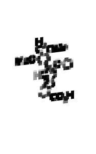 COc1cc([C@@H](O)[C@H](Cc2cc3c(C(=O)O)cccc3s2)OC2CCCC2)cc(OC)c1C